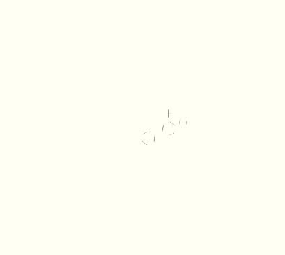 CCCCCCCCCCc1ccc(-c2ccc(OCCCC)c(F)c2)cc1